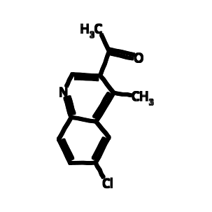 CC(=O)c1cnc2ccc(Cl)cc2c1C